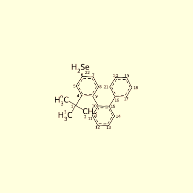 CC(C)(C)c1ccccc1-c1ccccc1-c1ccccc1.[SeH2]